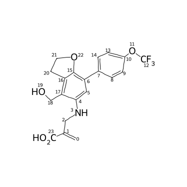 C=C(CNc1cc(-c2ccc(OC(F)(F)F)cc2)c2c(c1CO)CCO2)C(=O)O